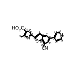 Cc1nc(-c2cc3cc(-c4ccncc4)cc(C#N)c3s2)sc1C(=O)O